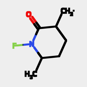 [CH2]C1CCC(C)N(F)C1=O